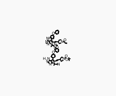 C=CC(=O)N1CCC(C#Cc2c(-c3ccc(Oc4ccccc4)cc3)c3c(N)ncnc3n2C(C)c2ncon2)CC1.CC(C#N)n1c(C#CC2CCN(C(=O)OC(C)(C)C)CC2)c(-c2ccc(Oc3ccccc3)cc2)c2c(N)ncnc21